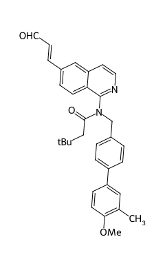 COc1ccc(-c2ccc(CN(C(=O)CC(C)(C)C)c3nccc4cc(C=CC=O)ccc34)cc2)cc1C